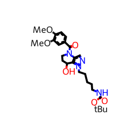 COc1ccc(C(=O)N2CCC(O)c3c2cnn3CCCCCNC(=O)OC(C)(C)C)cc1OC